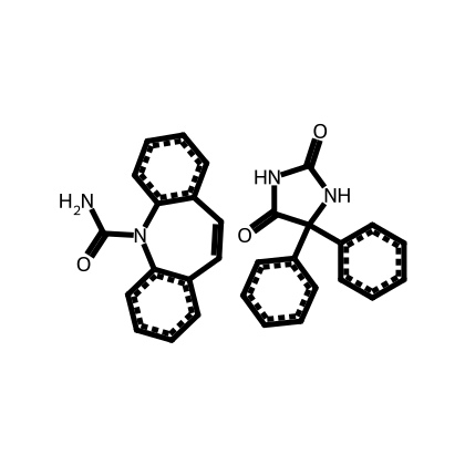 NC(=O)N1c2ccccc2C=Cc2ccccc21.O=C1NC(=O)C(c2ccccc2)(c2ccccc2)N1